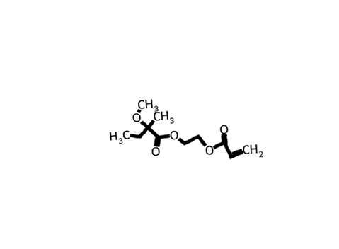 C=CC(=O)OCCOC(=O)C(C)(CC)OC